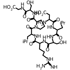 CC(C)CC(NC(=O)C(N)CC(=O)O)C(=O)NC(CO)C(=O)NC(CCCNC(=N)N)C(=O)NC(CC(C)C)C(=O)N1CCCC1C(=O)NC(CO)C(=O)NCC(=O)O